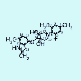 Bc1cc(C)cc(F)c1N1CC[C@@](O)(COc2ccc(C)c3c2CC(=C)N3)[C@H](O)C1